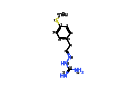 CCCCSc1ccc(CC=NNC(=N)N)cc1